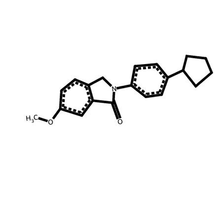 COc1ccc2c(c1)C(=O)N(c1ccc(C3CCCC3)cc1)C2